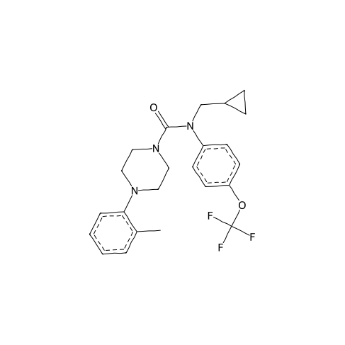 Cc1ccccc1N1CCN(C(=O)N(CC2CC2)c2ccc(OC(F)(F)F)cc2)CC1